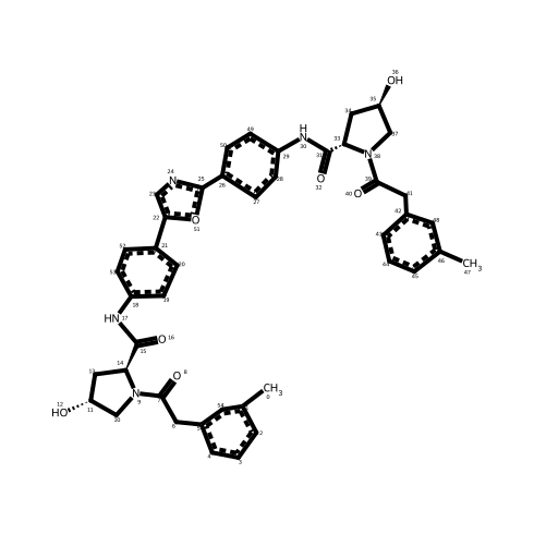 Cc1cccc(CC(=O)N2C[C@H](O)C[C@H]2C(=O)Nc2ccc(-c3cnc(-c4ccc(NC(=O)[C@@H]5C[C@@H](O)CN5C(=O)Cc5cccc(C)c5)cc4)o3)cc2)c1